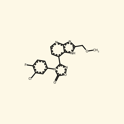 COCc1nc2nccc(-c3noc(=O)n3-c3ccc(F)c(Cl)c3)c2[nH]1